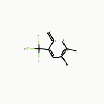 C=C/C(=C\C(C)=C(C)C)C(F)(F)F